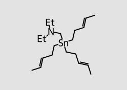 C/C=C/C[CH2][Sn]([CH2]C/C=C/C)([CH2]C/C=C/C)[CH2]N(CC)CC